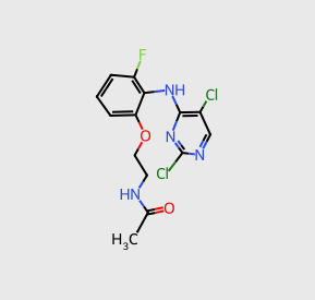 CC(=O)NCCOc1cccc(F)c1Nc1nc(Cl)ncc1Cl